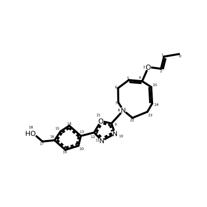 C/C=C/OC1=C/CCN(c2nnc(-c3ccc(CO)cc3)o2)CC/C=C\1